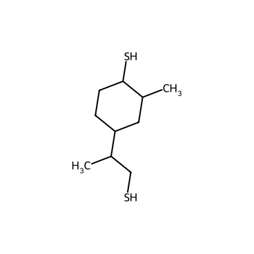 CC1CC(C(C)CS)CCC1S